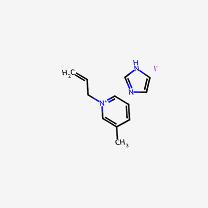 C=CC[n+]1cccc(C)c1.[I-].c1c[nH]cn1